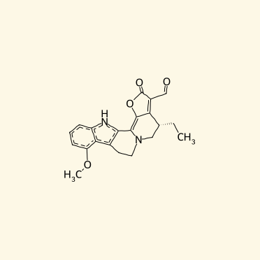 CC[C@@H]1CN2CCc3c([nH]c4cccc(OC)c34)C2=C2OC(=O)C(C=O)=C21